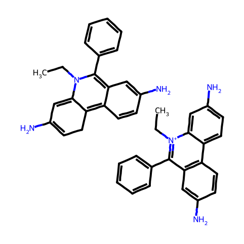 CCN1C2=CC(N)=CCC2=c2ccc(N)cc2=C1c1ccccc1.CC[n+]1c(-c2ccccc2)c2cc(N)ccc2c2ccc(N)cc21